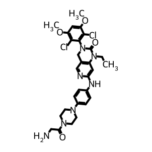 CCN1C(=O)N(c2c(Cl)c(OC)cc(OC)c2Cl)Cc2cnc(Nc3ccc(N4CCN(C(=O)CN)CC4)cc3)cc21